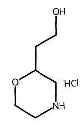 Cl.OCCC1CNCCO1